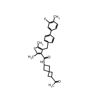 CC(=O)C1CC2(CC(NC(=O)c3c(C)sc(C)c3Cc3ccc(-c4ccc(C)c(F)c4)cc3)C2)C1